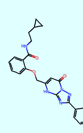 O=C(NCCC1CC1)c1ccccc1OCc1cc(=O)n2nc(-c3ccccc3)nc2[nH]1